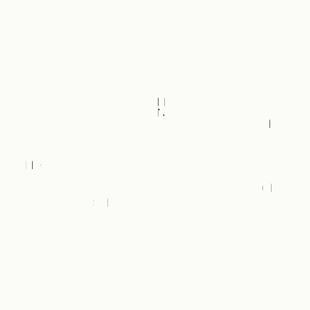 Cc1ccc(Nc2ccc(C)c(F)c2)cc1C